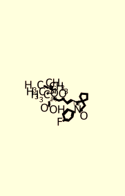 CC(C)(C)[Si](C)(C)O[C@@H](CC(=O)O)CC(=O)C=C[C@@H]1N(c2ccc(F)cc2)C(=O)CC12CCCC2